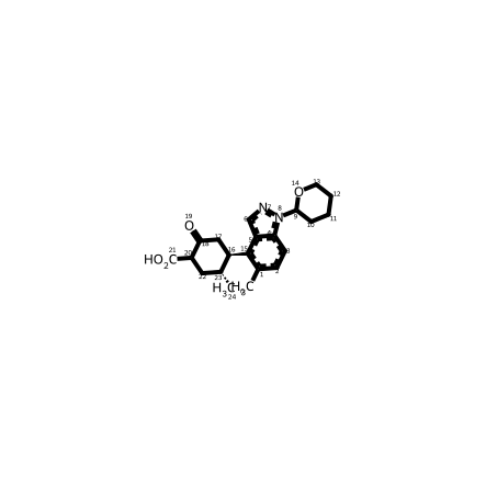 Cc1ccc2c(cnn2C2CCCCO2)c1[C@@H]1CC(=O)C(C(=O)O)C[C@H]1C